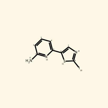 Nc1cccc(-c2cnc(I)s2)n1